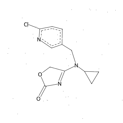 O=C1N=C(N(Cc2ccc(Cl)nc2)C2CC2)CO1